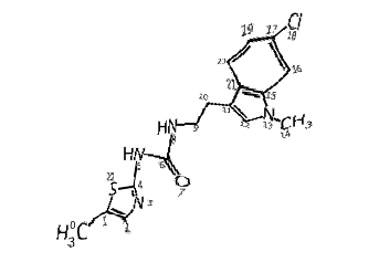 Cc1cnc(NC(=O)NCCc2cn(C)c3cc(Cl)ccc23)s1